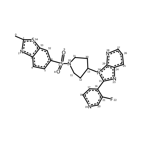 Cc1nc2ccc(S(=O)(=O)N3CCC(n4c(-c5ccncc5F)nc5cccnc54)CC3)cc2s1